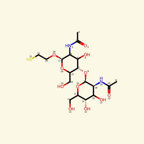 CC(=O)NC1C(O)[C@H](O[C@@H]2OC(CO)[C@@H](O)C(O)[C@@H]2NC(C)=O)C(CO)O[C@H]1OCCS